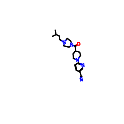 CC(C)CCN1CCN(C(=O)C2CCN(c3ccc(C#N)cn3)CC2)CC1